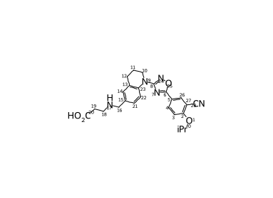 CC(C)Oc1ccc(-c2nc(N3CCCc4cc(CNCCC(=O)O)ccc43)no2)cc1C#N